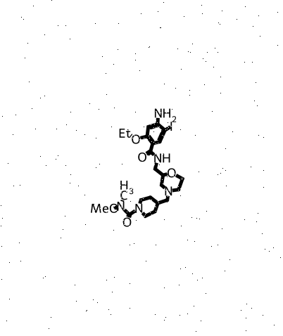 CCOc1cc(N)c(I)cc1C(=O)NCC1CN(CC2CCN(C(=O)N(C)OC)CC2)CCO1